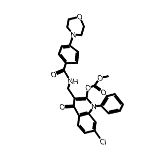 COC(=O)Oc1c(CNC(=O)c2ccc(N3CCOCC3)cc2)c(=O)c2ccc(Cl)cc2n1-c1ccccc1